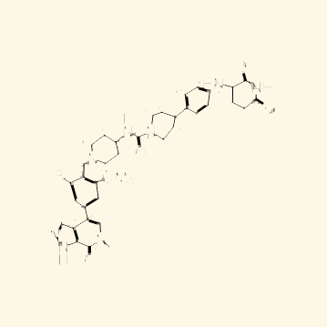 COc1cc(-c2cn(C)c(=O)c3[nH]ncc23)cc(F)c1CN1CCC(NC(=O)N2CCC(c3ccc(NC4CCC(=O)NC4=O)cc3)CC2)CC1